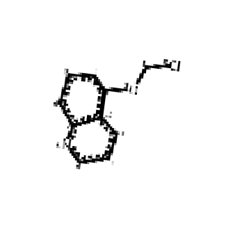 ClCOc1cccc2ncccc12